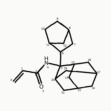 C=CC(=O)NC1(C2CC3CCC2C3)C2CC3CC(C2)CC1C3